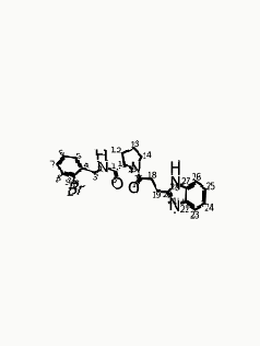 O=C(NCc1ccccc1Br)[C@@H]1CCCN1C(=O)CCC1=[N+]c2ccccc2N1